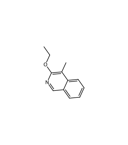 CCOc1ncc2ccccc2c1C